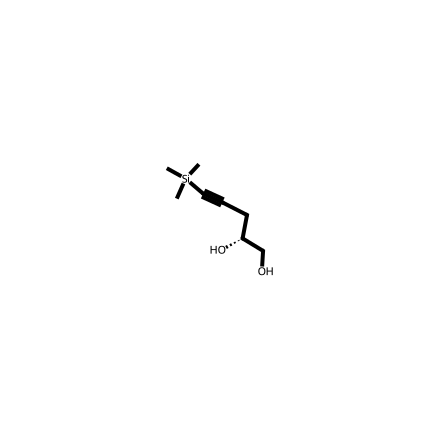 C[Si](C)(C)C#CC[C@@H](O)CO